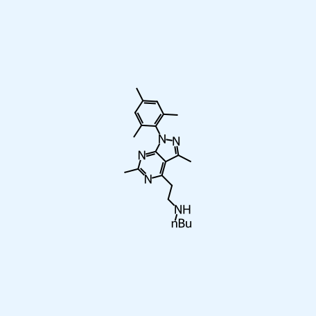 CCCCNCCc1nc(C)nc2c1c(C)nn2-c1c(C)cc(C)cc1C